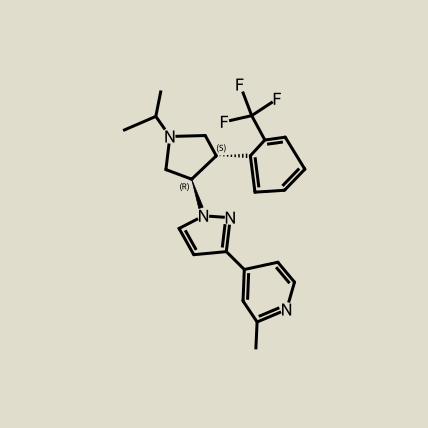 Cc1cc(-c2ccn([C@H]3CN(C(C)C)C[C@@H]3c3ccccc3C(F)(F)F)n2)ccn1